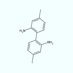 Nc1cc(I)ccc1-c1ccc(I)cc1N